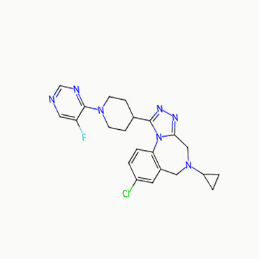 Fc1cncnc1N1CCC(c2nnc3n2-c2ccc(Cl)cc2CN(C2CC2)C3)CC1